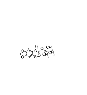 CC(C)(C)OC(=O)Nc1nc2c(cc1Br)OCO2